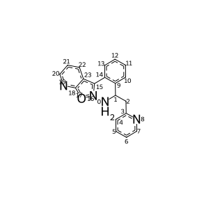 NC(Cc1ccccn1)c1ccccc1-c1noc2ncccc12